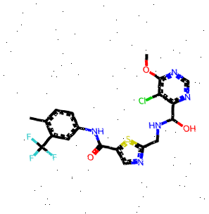 COc1ncnc(C(O)NCc2ncc(C(=O)Nc3ccc(C)c(C(F)(F)F)c3)s2)c1Cl